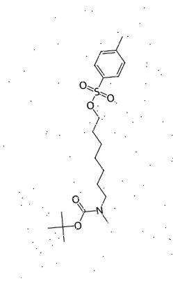 Cc1ccc(S(=O)(=O)OCCCCCCCN(C)C(=O)OC(C)(C)C)cc1